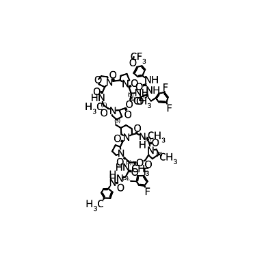 Cc1ccc(NC(=O)N[C@@H](Cc2cc(F)cc(F)c2)C(=O)N[C@@H]2C(=O)N3CCCC3C(=O)N3CC(C[C@H]4CC5C(=O)O[C@@H](C)[C@H](NC(=O)[C@H](Cc6cc(F)cc(F)c6)NC(=O)Nc6ccc(OC(F)(F)F)cc6)C(=O)N6CCCC6C(=O)N6CCOCC6C(=O)N[C@@H](C)C(=O)N5C4)CCC3C(=O)N[C@@H](C)C(=O)N3C[C@H](C)CC3C(=O)O[C@H]2C)cc1